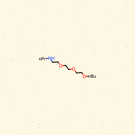 CCCCOCCOCCOCCNCCC